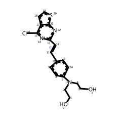 OCCN(CCO)c1ccc(/C=C/c2nc(Cl)c3ccsc3n2)cc1